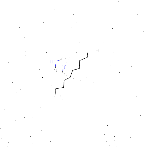 N#CNC=O.N#CNC=O.O=C(O)CCCCCCCCC(=O)O